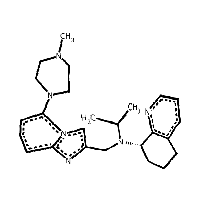 CC(C)N(Cc1cn2c(N3CCN(C)CC3)cccc2n1)[C@H]1CCCc2cccnc21